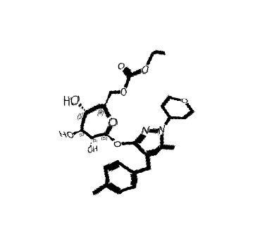 CCOC(=O)OC[C@H]1O[C@@H](Oc2nn(C3CCOCC3)c(C)c2Cc2ccc(C)cc2)[C@H](O)[C@@H](O)[C@@H]1O